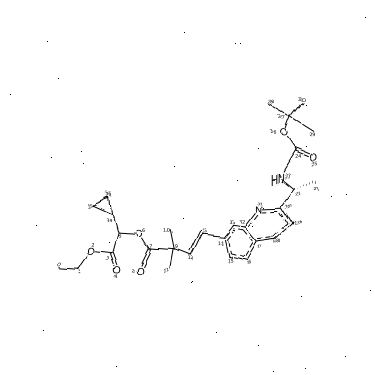 CCOC(=O)C(OC(=O)C(C)(C)/C=C/c1ccc2ccc([C@@H](C)NC(=O)OC(C)(C)C)nc2c1)C1CC1